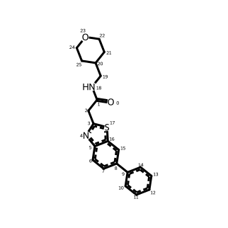 O=C(Cc1nc2ccc(-c3ccccc3)cc2s1)NCC1CCOCC1